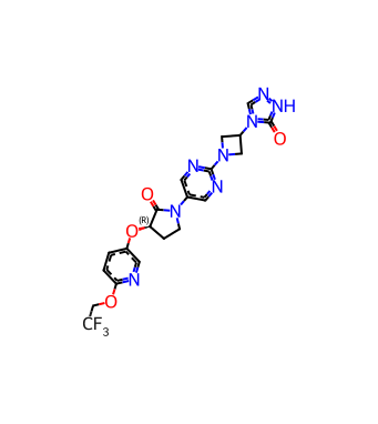 O=C1[C@H](Oc2ccc(OCC(F)(F)F)nc2)CCN1c1cnc(N2CC(n3cn[nH]c3=O)C2)nc1